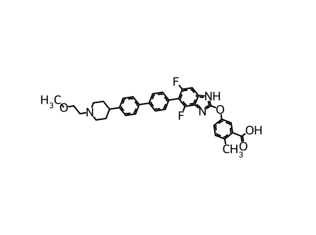 COCCN1CCC(c2ccc(-c3ccc(-c4c(F)cc5[nH]c(Oc6ccc(C)c(C(=O)O)c6)nc5c4F)cc3)cc2)CC1